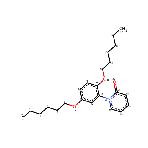 CCCCCCOc1ccc(OCCCCCC)c(-n2ccccc2=O)c1